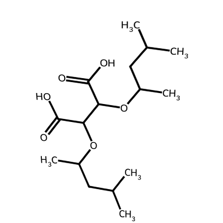 CC(C)CC(C)OC(C(=O)O)C(OC(C)CC(C)C)C(=O)O